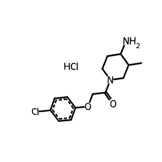 CC1CN(C(=O)COc2ccc(Cl)cc2)CCC1N.Cl